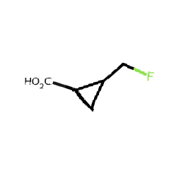 O=C(O)C1CC1CF